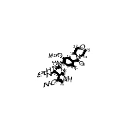 CCNc1nc(Nc2cc(F)c(C(=O)N3CCOCC3)cc2OC)nc2[nH]cc(C#N)c12